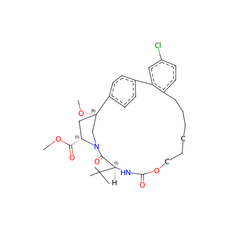 COC(=O)[C@@H]1C[C@]2(OC)CN1C(=O)[C@H](C(C)(C)C)NC(=O)OCCCCCCc1ccc(Cl)cc1-c1ccc2cc1